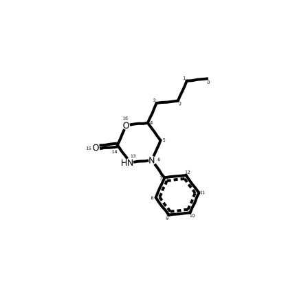 CCCCC1CN(c2ccccc2)NC(=O)O1